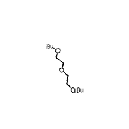 CCC(C)OCCOCCOCC(C)C